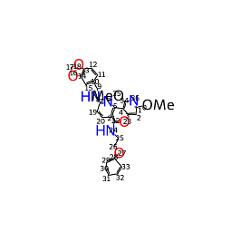 COc1ccc(-c2nc(NCc3ccc4c(c3)OCO4)ccc2C(=O)NCCOc2ccccc2)c(OC)n1